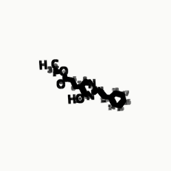 CCOC(=O)CCc1cnc(C=Cc2ccccc2)nc1O